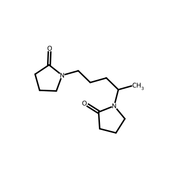 CC(CCCN1CCCC1=O)N1CCCC1=O